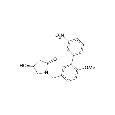 COc1ccc(CN2C[C@@H](O)CC2=O)cc1-c1cccc([N+](=O)[O-])c1